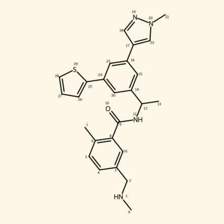 CNCc1ccc(C)c(C(=O)NC(C)c2cc(-c3cnn(C)c3)cc(-c3cccs3)c2)c1